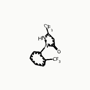 O=c1cc(C(F)(F)F)[nH]n1-c1ccccc1C(F)(F)F